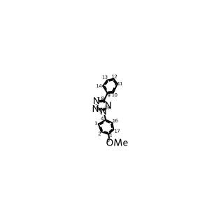 COc1ccc(-n2nnc(-c3ccccc3)n2)cc1